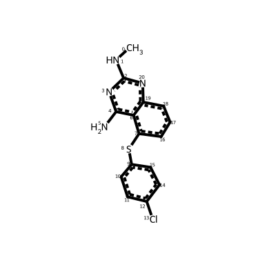 CNc1nc(N)c2c(Sc3ccc(Cl)cc3)cccc2n1